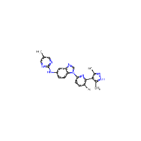 CC(=O)c1ccc(-n2cnc3cc(Nc4ncc(C)cn4)ccc32)nc1-c1c(C#N)n[nH]c1C